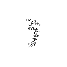 CCc1cc(NC(=O)c2ncc(-c3ccc(OC(F)F)c(F)c3F)n2C)ccc1C(=O)N1CCN(C(=O)C(CC)CCN(CC(N)=O)CC2CNC2)CC1